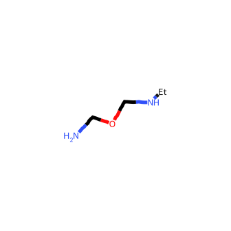 CCNCOCN